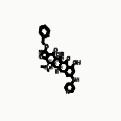 CN(C)[C@@H]1c2onc(OCc3ccccc3)c2C(=O)[C@@]2(O)C(O)=C3C(=O)c4c(O)cc(Nc5ccncc5)cc4C[C@H]3C[C@@H]12